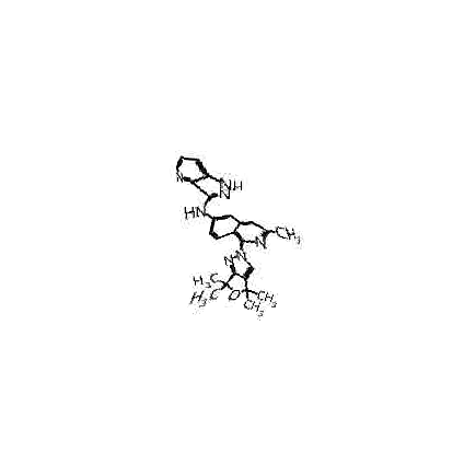 Cc1cc2cc(Nc3n[nH]c4cccnc34)ccc2c(-n2cc3c(n2)C(C)(C)OC3(C)C)n1